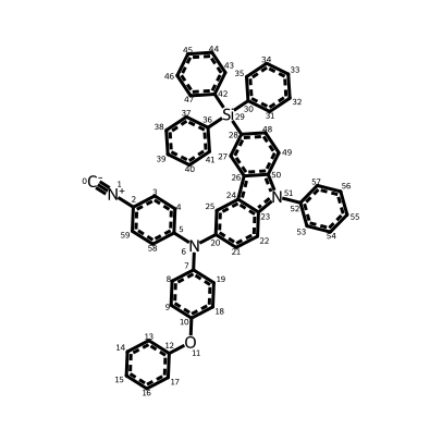 [C-]#[N+]c1ccc(N(c2ccc(Oc3ccccc3)cc2)c2ccc3c(c2)c2cc([Si](c4ccccc4)(c4ccccc4)c4ccccc4)ccc2n3-c2ccccc2)cc1